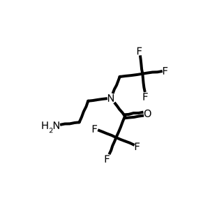 NCCN(CC(F)(F)F)C(=O)C(F)(F)F